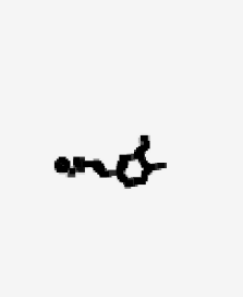 CC1C=CC(/C=C/[N+](=O)[O-])=CC1=S